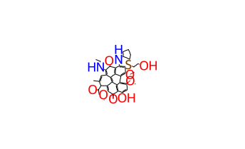 CCNc1c2c3c4c(c(OC)c(=O)c5c(O)cc(OC)c(c6c(OC)c(SCCO)c(NC7CCCC7)c(c1=O)c36)c54)C(C(C)=O)C(C)=C2